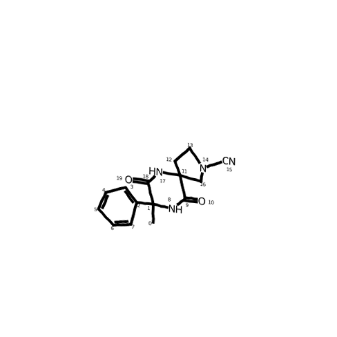 CC1(c2ccccc2)NC(=O)C2(CCN(C#N)C2)NC1=O